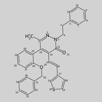 Cc1nn(CCc2ccccc2)c(=O)c(/C=C/c2ccsc2)c1-c1ccccc1OCc1ccccc1